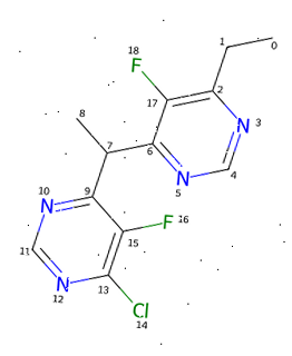 CCc1ncnc(C(C)c2ncnc(Cl)c2F)c1F